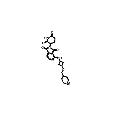 O=C1CCC(N2C(=O)c3cccc(NC4CC(OCC5CCNCC5)C4)c3C2=O)C(=O)N1